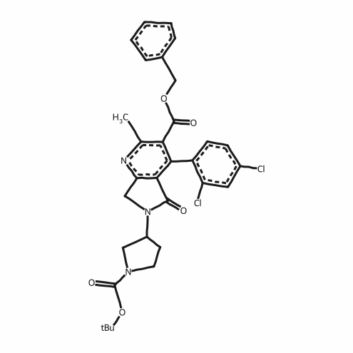 Cc1nc2c(c(-c3ccc(Cl)cc3Cl)c1C(=O)OCc1ccccc1)C(=O)N(C1CCN(C(=O)OC(C)(C)C)C1)C2